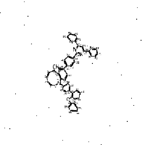 C=C1/C=C\C=C/CN(c2ccc(-c3cccc4c3oc3ccccc34)cc2)c2ccc(-c3ccc(-c4nc(-c5ccccn5)cc(-c5ccccn5)n4)cc3)cc21